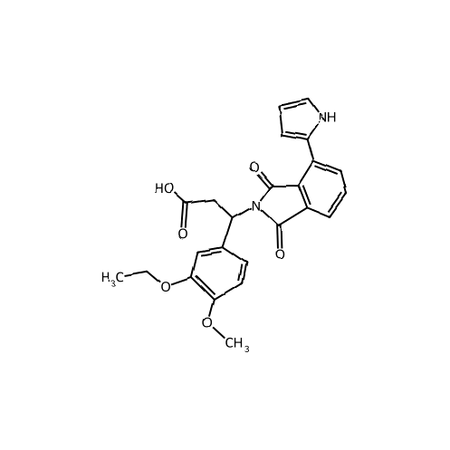 CCOc1cc(C(CC(=O)O)N2C(=O)c3cccc(-c4ccc[nH]4)c3C2=O)ccc1OC